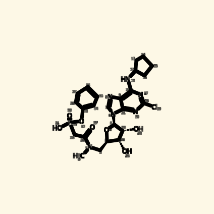 CN(C[C@H]1O[C@@H](n2cnc3c(NC4CCCC4)nc(Cl)nc32)[C@H](O)[C@@H]1O)C(=O)CP(=O)(O)Oc1ccccc1